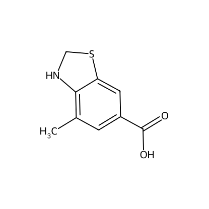 Cc1cc(C(=O)O)cc2c1NCS2